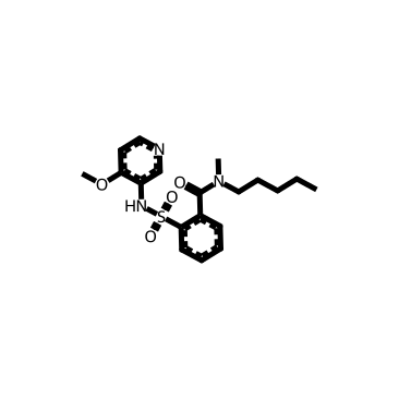 CCCCCN(C)C(=O)c1ccccc1S(=O)(=O)Nc1cnccc1OC